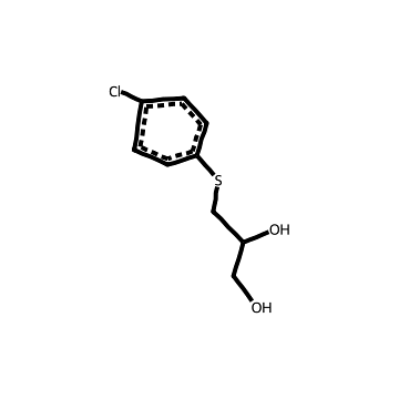 OCC(O)CSc1ccc(Cl)cc1